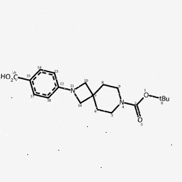 CC(C)(C)OC(=O)N1CCC2(CC1)CN(c1ccc(C(=O)O)cc1)C2